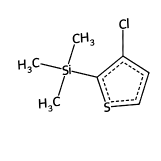 C[Si](C)(C)c1sccc1Cl